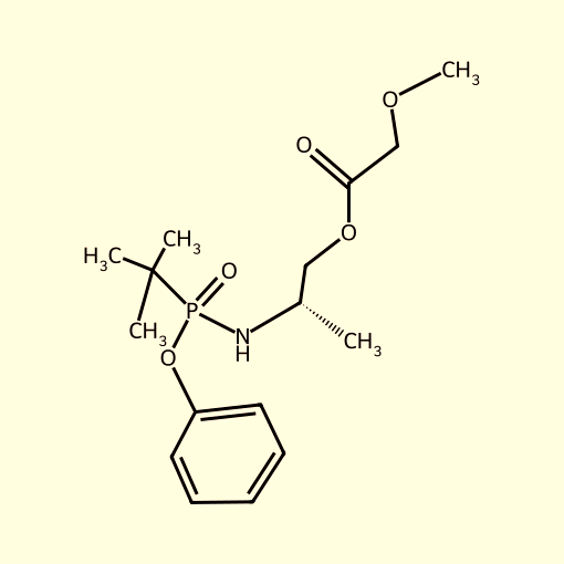 COCC(=O)OC[C@H](C)NP(=O)(Oc1ccccc1)C(C)(C)C